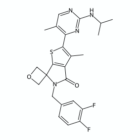 Cc1cnc(NC(C)C)nc1-c1sc2c(c1C)C(=O)N(Cc1ccc(F)c(F)c1)C21COC1